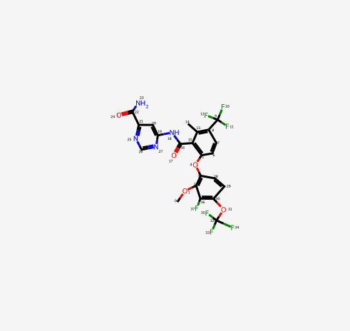 COc1c(Oc2ccc(C(F)(F)F)c(C)c2C(=O)Nc2cc(C(N)=O)ncn2)ccc(OC(F)(F)F)c1F